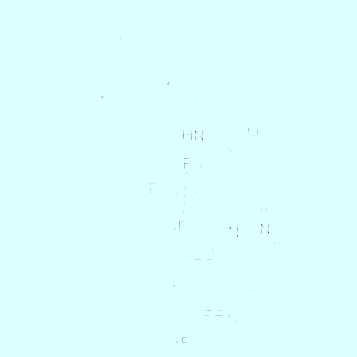 O=C(NCC1CCCCC1)c1cnn(-c2ccc(F)cc2)c1C(F)(F)F